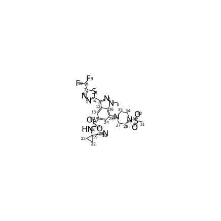 Cn1nc(-c2nnc(C(F)F)s2)c2cc(S(=O)(=O)NC3(C#N)CC3)cc(N3CCN(S(C)(=O)=O)CC3)c21